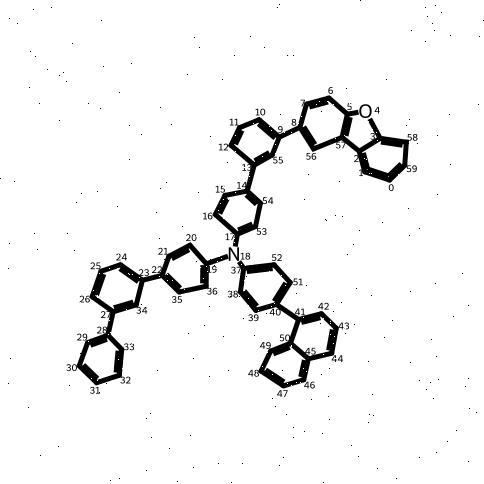 C1=C=c2c(oc3ccc(-c4cccc(-c5ccc(N(c6ccc(-c7cccc(-c8ccccc8)c7)cc6)c6ccc(-c7cccc8ccccc78)cc6)cc5)c4)cc23)=CC=1